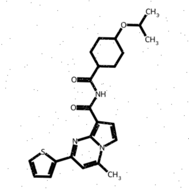 Cc1cc(-c2cccs2)nc2c(C(=O)NC(=O)C3CCC(OC(C)C)CC3)ccn12